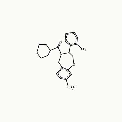 O=C(O)c1ccc2c(c1)OCC(c1ccccc1C(F)(F)F)N(C(=O)C1CCOCC1)C2